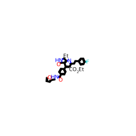 CCOC(=O)c1c(CCc2ccc(F)cc2)nc2c(c1-c1ccc(C(=O)NCc3ccco3)cc1)C(=O)NC2CC